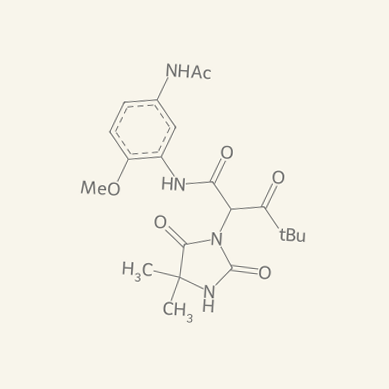 COc1ccc(NC(C)=O)cc1NC(=O)C(C(=O)C(C)(C)C)N1C(=O)NC(C)(C)C1=O